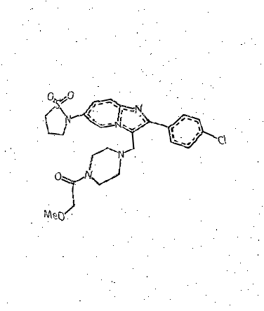 COCC(=O)N1CCN(Cc2c(-c3ccc(Cl)cc3)nc3ccc(N4CCCS4(=O)=O)cn23)CC1